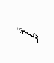 CCCC(CC)OC(=O)CCCCCCC(=O)O